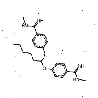 CCCCCC(Oc1ccc(C(=N)NC)cc1)Oc1ccc(C(=N)NI)cc1